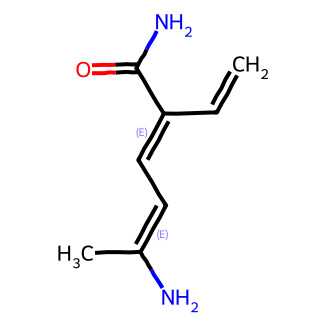 C=C/C(=C\C=C(/C)N)C(N)=O